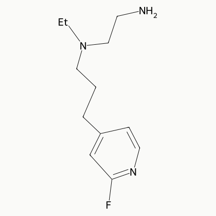 CCN(CCN)CCCc1ccnc(F)c1